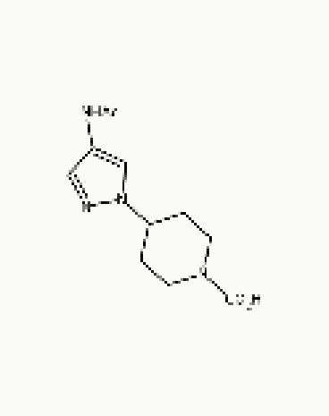 CC(=O)Nc1cnn(C2CCN(C(=O)O)CC2)c1